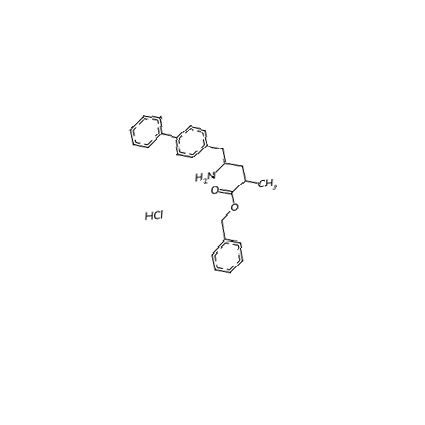 CC(CC(N)Cc1ccc(-c2ccccc2)cc1)C(=O)OCc1ccccc1.Cl